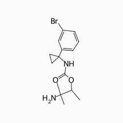 CC(OC(=O)NC1(c2cccc(Br)c2)CC1)C(C)(C)N